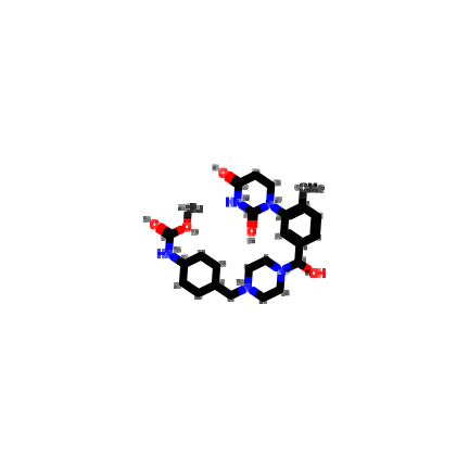 COc1ccc(C(O)N2CCN(CC3CCC(NC(=O)OC(C)(C)C)CC3)CC2)cc1N1CCC(=O)NC1=O